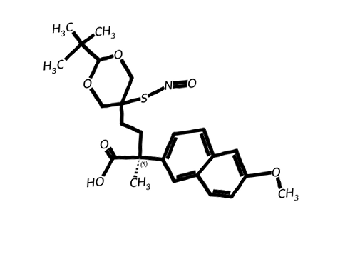 COc1ccc2cc([C@](C)(CCC3(SN=O)COC(C(C)(C)C)OC3)C(=O)O)ccc2c1